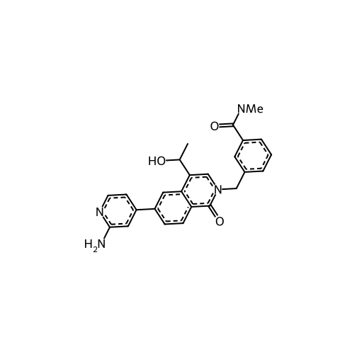 CNC(=O)c1cccc(Cn2cc(C(C)O)c3cc(-c4ccnc(N)c4)ccc3c2=O)c1